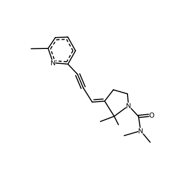 Cc1cccc(C#C/C=C2\CCN(C(=O)N(C)C)C2(C)C)n1